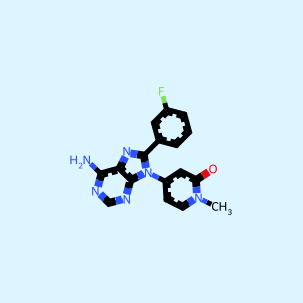 Cn1ccc(-n2c(-c3cccc(F)c3)nc3c(N)ncnc32)cc1=O